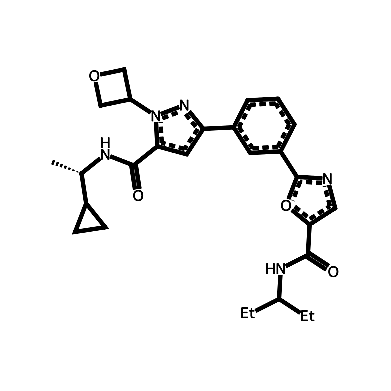 CCC(CC)NC(=O)c1cnc(-c2cccc(-c3cc(C(=O)N[C@@H](C)C4CC4)n(C4COC4)n3)c2)o1